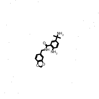 CC(C)(N)c1ccc(N)c(C(=O)NCc2ccc3c(c2)OCO3)c1